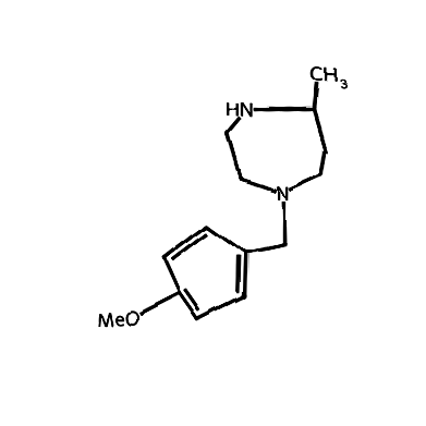 COc1ccc(CN2CCNC(C)CC2)cc1